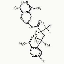 CC(=O)c1ccc(F)cc1C(C)(C)CC(O)(C(=O)Nc1ccc2c(=O)onc(C)c2c1)C(F)(F)F